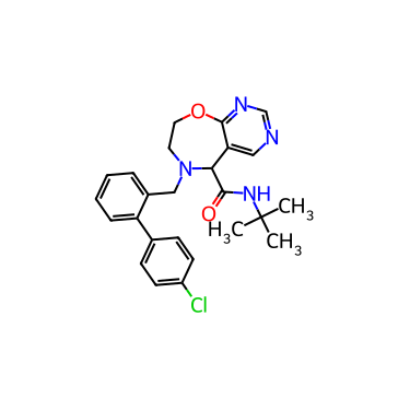 CC(C)(C)NC(=O)C1c2cncnc2OCCN1Cc1ccccc1-c1ccc(Cl)cc1